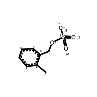 Cc1ccccc1COS(=O)(=O)C(F)(F)F